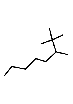 CCCCC[C](C)C(C)(C)C